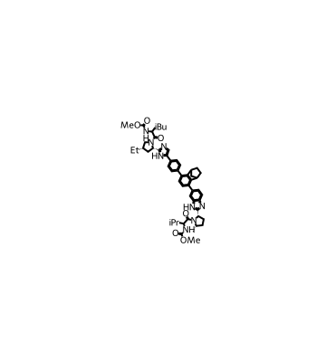 CCC(C)C(NC(=O)OC)C(=O)N1C[C@@H](CC)C[C@H]1c1ncc(-c2ccc(-c3ccc(-c4ccc5nc([C@@H]6CC[C@H](C)N6C(=O)C(NC(=O)OC)C(C)C)[nH]c5c4)c4c3C3CCC4C3)cc2)[nH]1